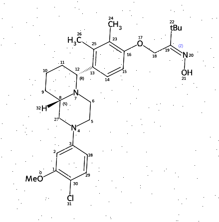 COc1cc(N2CCN3[C@@H](CCC[C@@H]3c3ccc(OC/C(=N\O)C(C)(C)C)c(C)c3C)C2)ccc1Cl